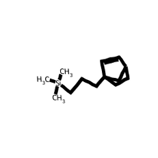 C[Si](C)(C)CCCC12C=CC(CC1)C2